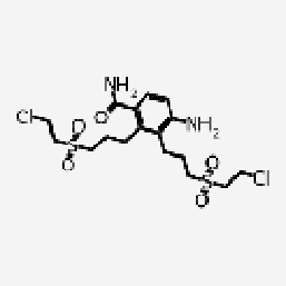 NC(=O)c1ccc(N)c(CCCS(=O)(=O)CCCl)c1CCCS(=O)(=O)CCCl